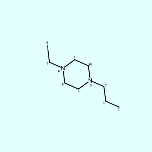 CCCN1CCN(CI)CC1